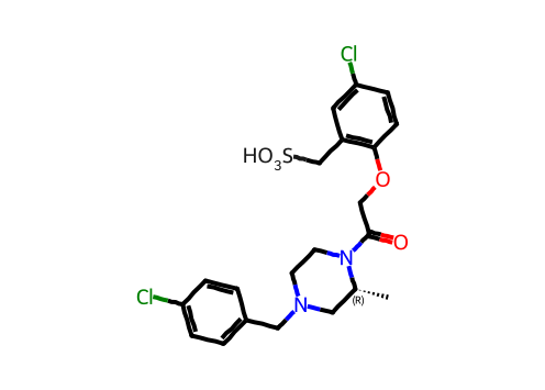 C[C@@H]1CN(Cc2ccc(Cl)cc2)CCN1C(=O)COc1ccc(Cl)cc1CS(=O)(=O)O